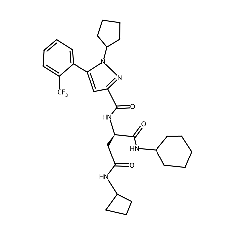 O=C(C[C@@H](NC(=O)c1cc(-c2ccccc2C(F)(F)F)n(C2CCCC2)n1)C(=O)NC1CCCCC1)NC1CCC1